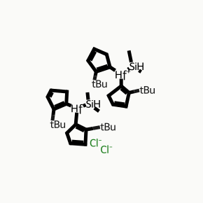 C[SiH](C)[Hf+]([C]1=C(C(C)(C)C)C=CC1)[C]1=C(C(C)(C)C)C=CC1.C[SiH](C)[Hf+]([C]1=C(C(C)(C)C)C=CC1)[C]1=C(C(C)(C)C)C=CC1.[Cl-].[Cl-]